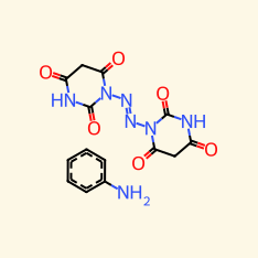 Nc1ccccc1.O=C1CC(=O)N(N=NN2C(=O)CC(=O)NC2=O)C(=O)N1